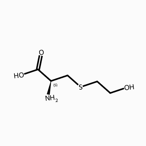 N[C@H](CSCCO)C(=O)O